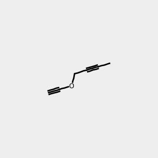 C#COCC#CC